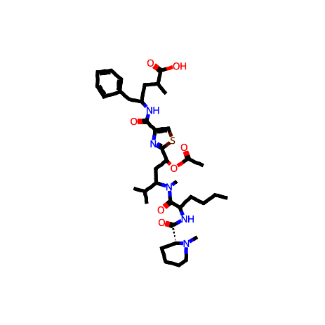 CCCCC(NC(=O)[C@H]1CCCCN1C)C(=O)N(C)C(CC(OC(C)=O)c1nc(C(=O)NC(Cc2ccccc2)CC(C)C(=O)O)cs1)C(C)C